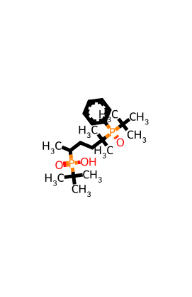 CC(CCC(C)(C)P(=O)(c1ccccc1)C(C)(C)C)P(=O)(O)C(C)(C)C